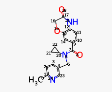 Cc1ccc(CN(C(=O)c2ccc3c(c2)OCC(=O)N3)C2CC2)cn1